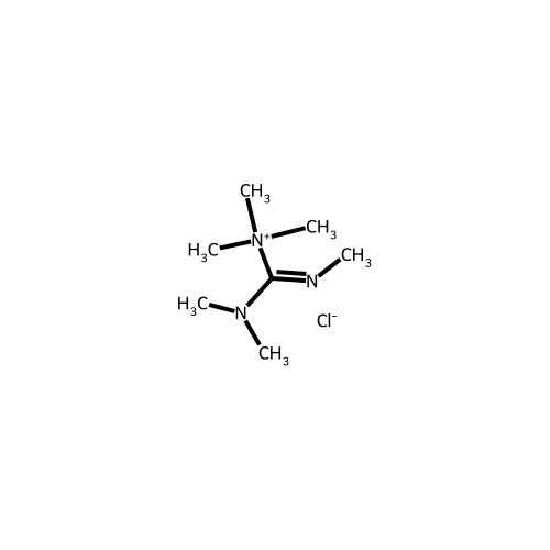 CN=C(N(C)C)[N+](C)(C)C.[Cl-]